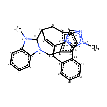 CN1c2ccccc2N2Cc3cccc4c3C(Cc3ccccc3-c3ncnn3C)=CC(C4)C12